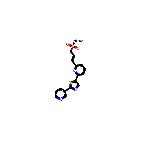 CC(=O)NS(=O)(=O)CC=Cc1cccc(-c2cnc(-c3cccnc3)s2)n1